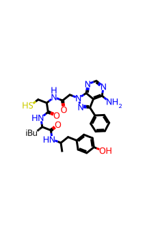 CCC(C)C(NC(=O)C(CS)NC(=O)Cn1nc(-c2ccccc2)c2c(N)ncnc21)C(=O)NC(C)Cc1ccc(O)cc1